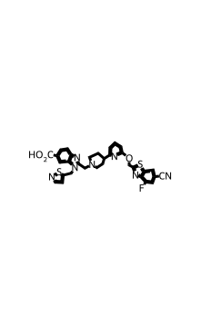 N#Cc1cc(F)c2nc(COc3cccc(C4CCN(Cc5nc6ccc(C(=O)O)cc6n5Cc5ccns5)CC4)n3)sc2c1